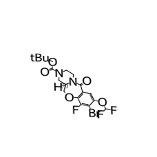 CC(C)(C)OC(=O)N1CCN2C(=O)c3cc(OC(F)F)c(Br)c(F)c3OC[C@H]2C1